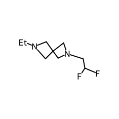 CCN1CC2(C1)CN(CC(F)F)C2